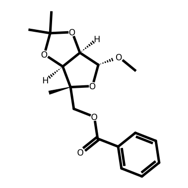 CO[C@@H]1O[C@](C)(COC(=O)c2ccccc2)[C@H]2OC(C)(C)O[C@@H]12